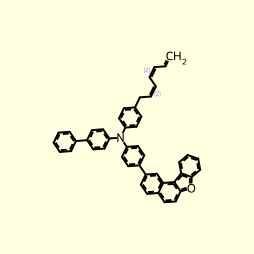 C=C/C=C\C=C/Cc1ccc(N(c2ccc(-c3ccccc3)cc2)c2ccc(-c3ccc4ccc5oc6ccccc6c5c4c3)cc2)cc1